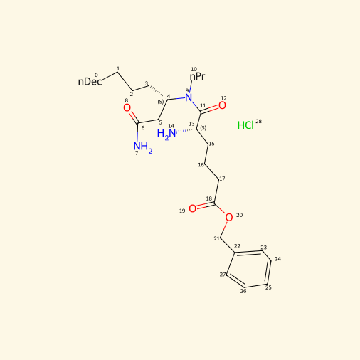 CCCCCCCCCCCCC[C@@H](CC(N)=O)N(CCC)C(=O)[C@@H](N)CCCC(=O)OCc1ccccc1.Cl